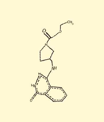 CCOC(=O)N1CCC(Nc2n[nH]c(=O)c3ccccc23)C1